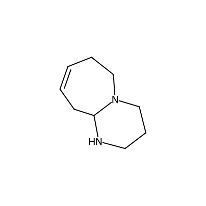 C1=CCC2NCCCN2CC1